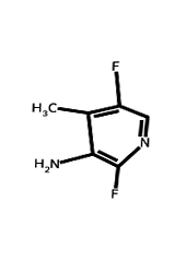 Cc1c(F)cnc(F)c1N